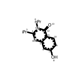 CCCn1c(C(C)C)nc2cc(O)ccc2c1=O